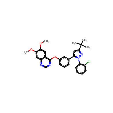 COc1cc2ncnc(Oc3cccc(-c4cc(C(C)(C)C)nn4-c4ccccc4Cl)c3)c2cc1OC